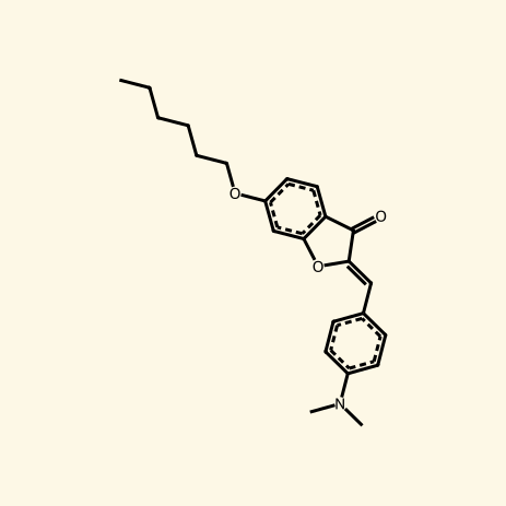 CCCCCCOc1ccc2c(c1)O/C(=C\c1ccc(N(C)C)cc1)C2=O